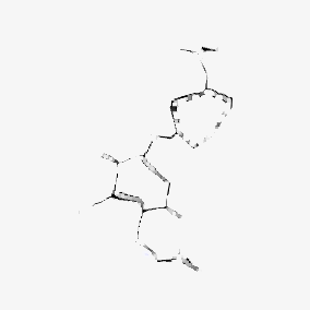 C=N/C=N\C1=C(C)C(=O)C(Nc2cccc(B(O)O)c2)=CC1=O